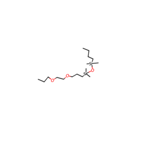 CCCC[Si](C)(C)O[Si](C)(C)CCCOCCOCCC